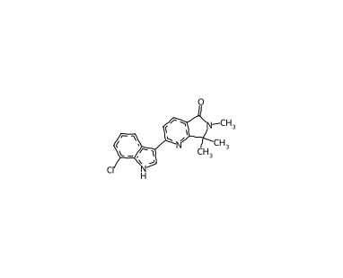 CN1C(=O)c2ccc(-c3c[nH]c4c(Cl)cccc34)nc2C1(C)C